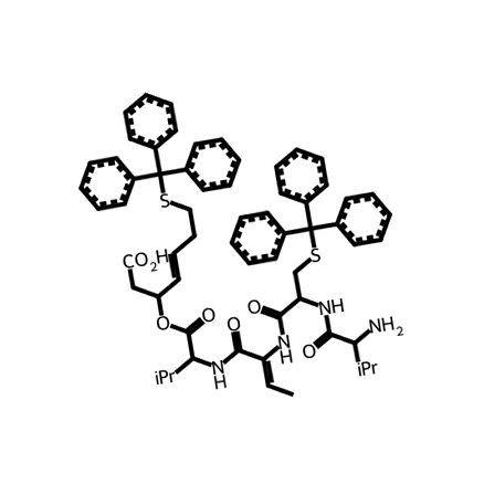 C/C=C(\NC(=O)C(CSC(c1ccccc1)(c1ccccc1)c1ccccc1)NC(=O)C(N)C(C)C)C(=O)NC(C(=O)OC(/C=C/CCSC(c1ccccc1)(c1ccccc1)c1ccccc1)CC(=O)O)C(C)C